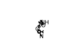 C=C1N([C@H]2C[C@@H](Oc3ccc(C#N)c(C(C)C)c3)C2)C(=O)NC1(C)C